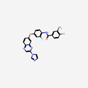 O=C(Nc1ccc(Oc2ccc3ncc(-n4ccnc4)nc3c2)cc1F)c1ccc(Cl)c(C(F)(F)F)c1